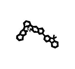 CC1(C)c2ccccc2-c2ccc(-c3ccc4cc5c6cccc7c8cc9ccccc9cc8n(c5cc4c3)c76)cc21